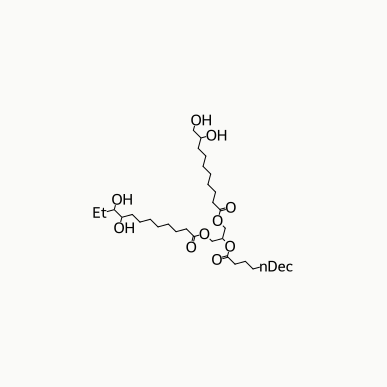 CCCCCCCCCCCCCC(=O)OC(COC(=O)CCCCCCCC(O)CO)COC(=O)CCCCCCCC(O)C(O)CC